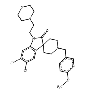 O=C1N(CCN2CCOCC2)c2cc(Cl)c(Cl)cc2C12CCN(Cc1ccc(OC(F)(F)F)cc1)CC2